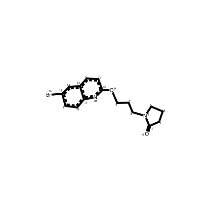 O=C1CCCN1CCCOc1ccc2cc(Br)ccc2n1